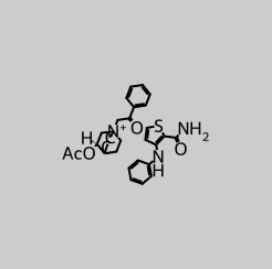 CC(=O)O[C@H]1C[N+]2(CC(=O)c3ccccc3)CCC1CC2.NC(=O)c1sccc1Nc1ccccc1